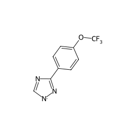 FC(F)(F)Oc1ccc(C2=N[N]C=N2)cc1